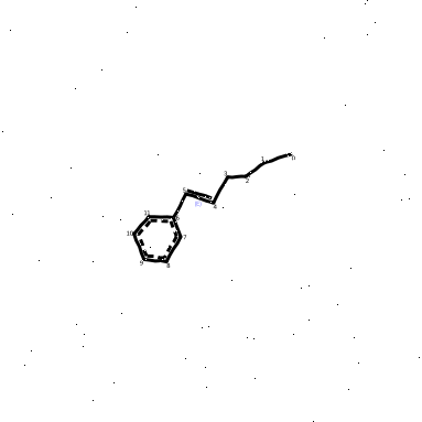 CC[CH]C/C=C/c1ccccc1